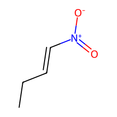 CCC=C[N+](=O)[O-]